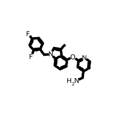 Cc1cn(Cc2ccc(F)cc2F)c2cccc(Oc3cc(CN)ccn3)c12